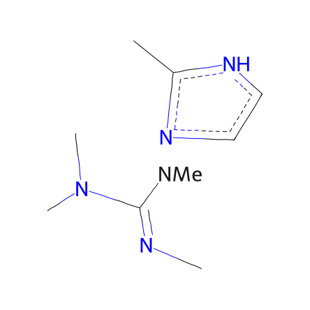 C/N=C(\NC)N(C)C.Cc1ncc[nH]1